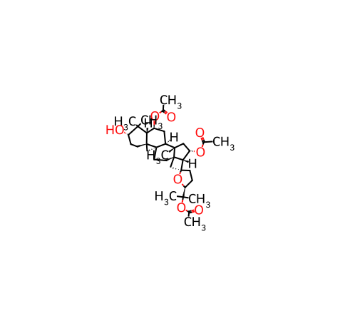 CC(=O)O[C@H]1C[C@@]2(C)[C@@H]3C[C@H](OC(C)=O)[C@H]4C(C)(C)[C@@H](O)CC[C@@]45C[C@@]35CC[C@@]23C[C@@]2(CC[C@@H](C(C)(C)OC(C)=O)O2)[C@@H]13